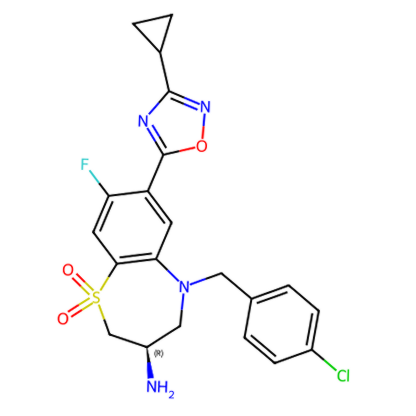 N[C@@H]1CN(Cc2ccc(Cl)cc2)c2cc(-c3nc(C4CC4)no3)c(F)cc2S(=O)(=O)C1